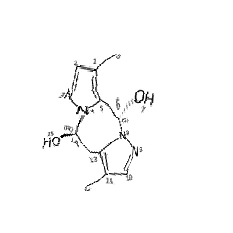 Cc1cnn2c1[C@H](O)n1ncc(C)c1[C@H]2O